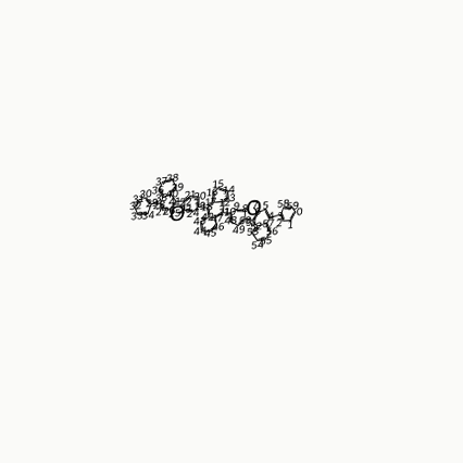 c1ccc(-c2cc3oc4cc(-c5c6ccccc6c(-c6ccc7c(c6)oc6cc(-c8ccccc8)c8ccccc8c67)c6ccccc56)ccc4c3c3ccccc23)cc1